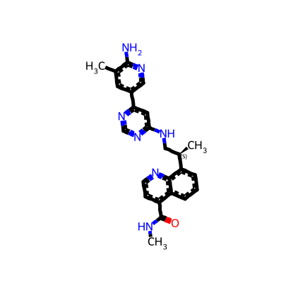 CNC(=O)c1ccnc2c([C@H](C)CNc3cc(-c4cnc(N)c(C)c4)ncn3)cccc12